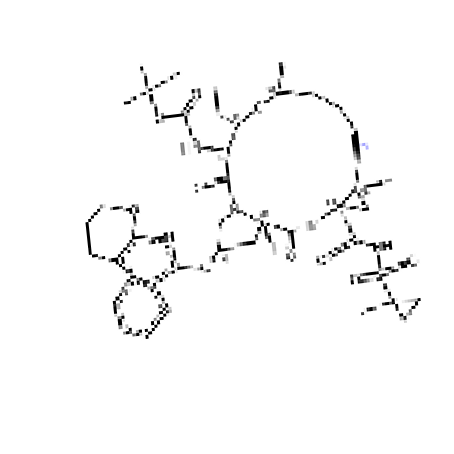 CC[C@@H]1C[C@@H](C)CC/C=C\[C@@H]2C[C@@]2(C(=O)NS(=O)(=O)C2(C)CC2)NC(=O)[C@@H]2C[C@@H](Oc3nc4c(c5ccccc35)CCCO4)CN2C(=O)[C@H]1NC(=O)OC(C)(C)C